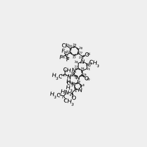 CC(C)NC(=O)c1ncc(-n2c(NC(C)C)nc3c(c2=O)C[C@@H](C)N(C(=O)c2ccc(Cl)c(C(F)(F)F)c2)C3)n1C